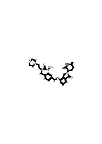 C=C1CCC(N2Cc3c(OCc4ccc(CN(CCN5CCOCC5)C(=O)OC(C)(C)C)cc4)cccc3C2=O)C(=O)N1